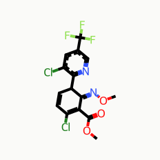 CON=C1C(C(=O)OC)=C(Cl)C=CC1c1ncc(C(F)(F)F)cc1Cl